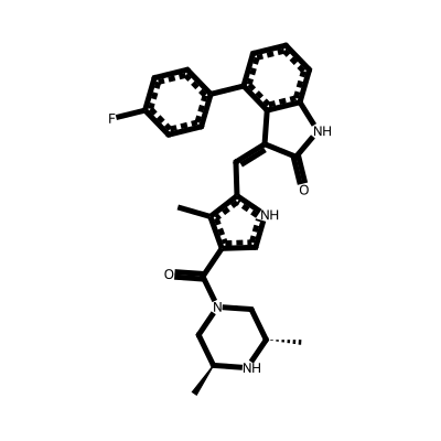 Cc1c(C(=O)N2C[C@H](C)N[C@@H](C)C2)c[nH]c1C=C1C(=O)Nc2cccc(-c3ccc(F)cc3)c21